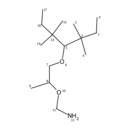 CCC(C)(C)C(OCC(C)OCN)C(C)(C)CC